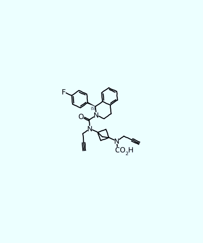 C#CCN(C(=O)O)C12CC(N(CC#C)C(=O)N3CCc4ccccc4[C@@H]3c3ccc(F)cc3)(C1)C2